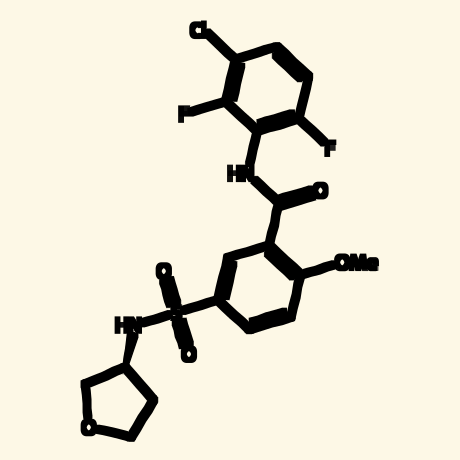 COc1ccc(S(=O)(=O)N[C@H]2CCOC2)cc1C(=O)Nc1c(F)ccc(Cl)c1F